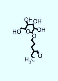 CCC(C=O)CCCOC1OC(CO)C(O)C(O)C1O